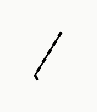 C#CC#CC#CC#CC#CC=C